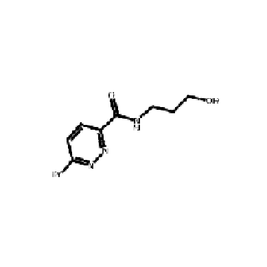 CC(C)c1ccc(C(=O)NCCCO)nn1